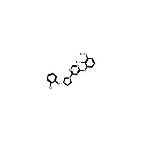 CC(=O)Nc1cccc(Nc2ncnc(N3CC[C@H](Oc4ccccc4Cl)C3)n2)c1C